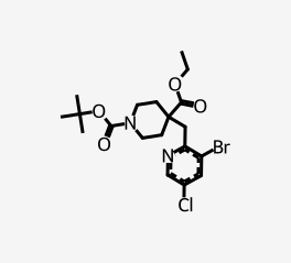 CCOC(=O)C1(Cc2ncc(Cl)cc2Br)CCN(C(=O)OC(C)(C)C)CC1